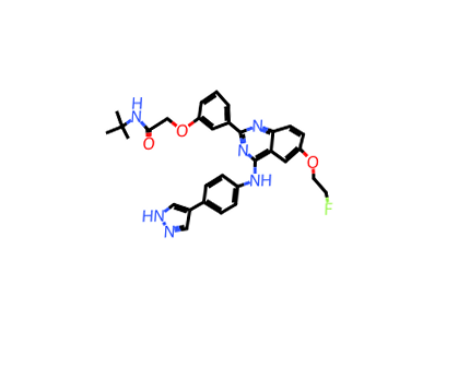 CC(C)(C)NC(=O)COc1cccc(-c2nc(Nc3ccc(-c4cn[nH]c4)cc3)c3cc(OCCF)ccc3n2)c1